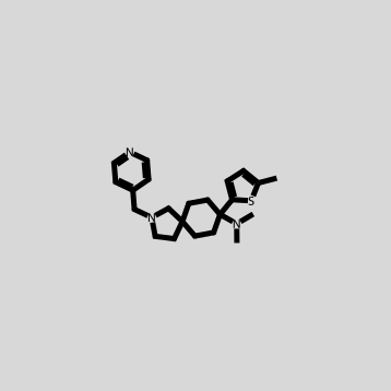 Cc1ccc(C2(N(C)C)CCC3(CCN(Cc4ccncc4)C3)CC2)s1